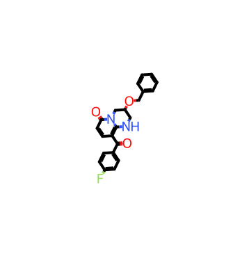 O=C(c1ccc(F)cc1)c1ccc(=O)n2c1NCC(OCc1ccccc1)C2